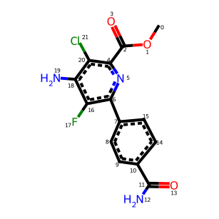 COC(=O)c1nc(-c2ccc(C(N)=O)cc2)c(F)c(N)c1Cl